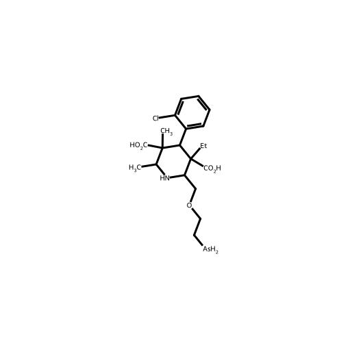 CCC1(C(=O)O)C(COCC[AsH2])NC(C)C(C)(C(=O)O)C1c1ccccc1Cl